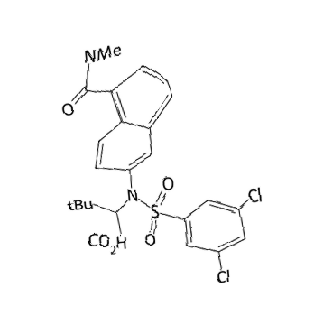 CNC(=O)c1cccc2cc(N(C(C(=O)O)C(C)(C)C)S(=O)(=O)c3cc(Cl)cc(Cl)c3)ccc12